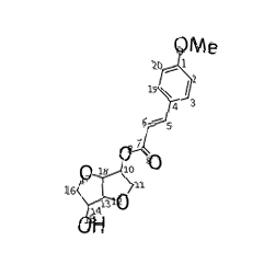 COc1ccc(C=CC(=O)OC2COC3C(O)COC23)cc1